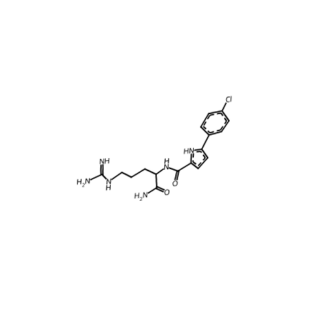 N=C(N)NCCCC(NC(=O)c1ccc(-c2ccc(Cl)cc2)[nH]1)C(N)=O